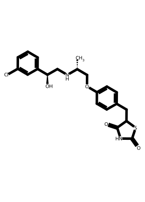 C[C@H](COc1ccc(CC2SC(=O)NC2=O)cc1)NC[C@@H](O)c1cccc(Cl)c1